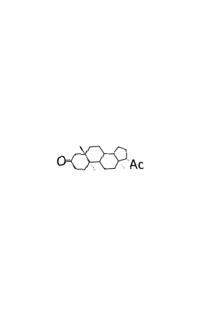 CC(=O)[C@H]1CCC2C3CC[C@@]4(C)CC(=O)CC[C@]4(C)C3CC[C@@]21C